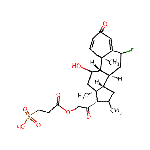 CC1C[C@H]2[C@@H]3CC(F)C4=CC(=O)C=C[C@]4(C)[C@H]3C(O)C[C@]2(C)[C@H]1C(=O)COC(=O)CCS(=O)(=O)O